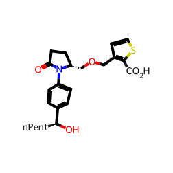 CCCCC[C@H](O)c1ccc(N2C(=O)CC[C@@H]2COCc2ccsc2C(=O)O)cc1